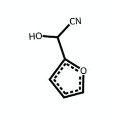 N#CC(O)c1ccco1